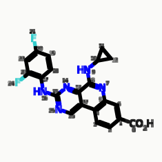 O=C(O)c1ccc2c(c1)nc(NC1CC1)c1nc(Nc3ccc(F)cc3F)ncc12